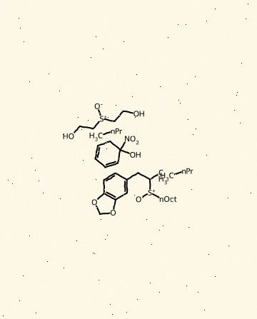 CCCC.CCCC.CCCCCCCC[S+]([O-])C(C)Cc1ccc2c(c1)OCO2.O=[N+]([O-])C1(O)C=CC=CC1.[O-][S+](CCO)CCO